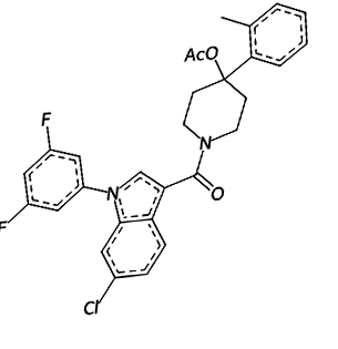 CC(=O)OC1(c2ccccc2C)CCN(C(=O)c2cn(-c3cc(F)cc(F)c3)c3cc(Cl)ccc23)CC1